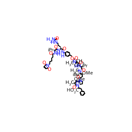 CC[C@H](C)[C@@H]([C@@H](CC(=O)N1CCC[C@H]1[C@H](OC)[C@@H](C)C(=O)N[C@@H](Cc1ccccc1)C(=O)O)OC)N(C)C(=O)C(NC(=O)C(C)(C)N(C)C(=O)OCc1ccc(NC(=O)[C@H](CCCNC(N)=O)NC(=O)[C@@H](NC(=O)CCCCCN2C(=O)C=CC2=O)C(C)C)cc1)C(C)C